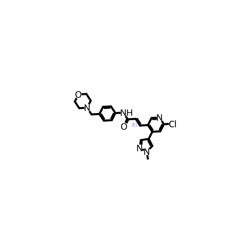 Cn1cc(-c2cc(Cl)ncc2/C=C/C(=O)Nc2ccc(CN3CCOCC3)cc2)cn1